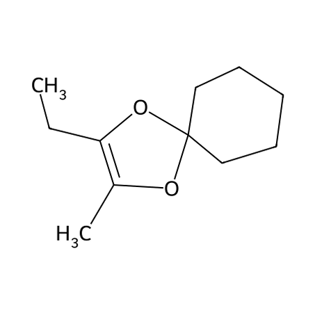 CCC1=C(C)OC2(CCCCC2)O1